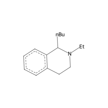 CCCCC1c2ccccc2CCN1CC